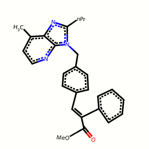 CCCc1nc2c(C)ccnc2n1Cc1ccc(/C=C(/C(=O)OC)c2ccccc2)cc1